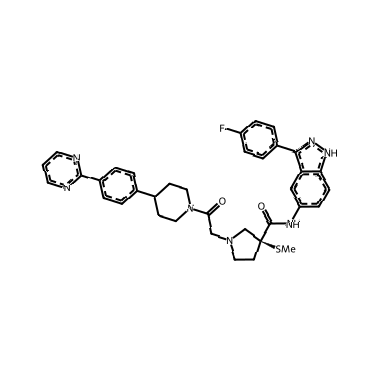 CS[C@@]1(C(=O)Nc2ccc3[nH]nc(-c4ccc(F)cc4)c3c2)CCN(CC(=O)N2CCC(c3ccc(-c4ncccn4)cc3)CC2)C1